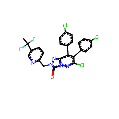 CC(F)(F)c1ccc(Cn2nc3c(-c4ccc(Cl)cc4)c(-c4ccc(Cl)cc4)c(Cl)nn3c2=O)nc1